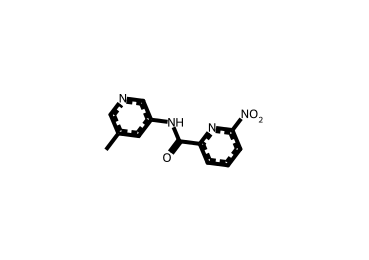 Cc1cncc(NC(=O)c2cccc([N+](=O)[O-])n2)c1